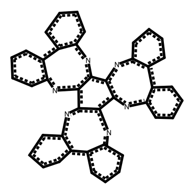 c1ccc2c(c1)nc1c3nc4ccccc4c4ccccc4nc3c3nc4ccccc4c4ccccc4nc3c1nc1ccccc12